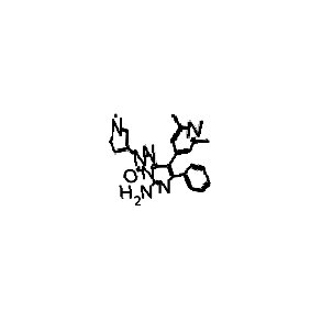 Cc1cc(-c2c(-c3ccccc3)nc(N)n3c(=O)n(C4CCN(C)C4)nc23)cc(C)n1